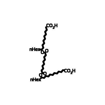 CCCCCCC(CCCCCCCCCCC(=O)O)OC(=O)CCCCCCCCC(=O)OC(CCCCCC)CCCCCCCCCCC(=O)O